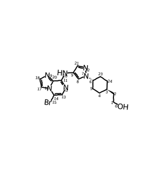 OCC[C@H]1CC[C@H](n2cc(Nc3ncc(Br)n4ccnc34)cn2)CC1